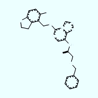 O=C(COCc1ccccc1)Nc1cnc(NCc2c(F)ccc3c2CCO3)n2cnnc12